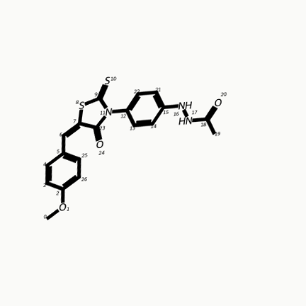 COc1ccc(/C=C2/SC(=S)N(c3ccc(NNC(C)=O)cc3)C2=O)cc1